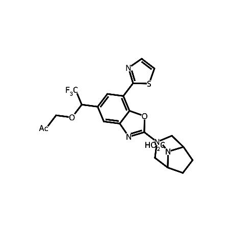 CC(=O)COC(c1cc(-c2nccs2)c2oc(N3CC4CCC(C3)N4C(=O)O)nc2c1)C(F)(F)F